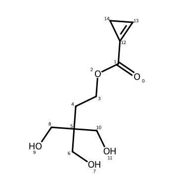 O=C(OCCC(CO)(CO)CO)C1=CC1